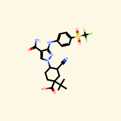 CC(C)(C)C1(C(=O)O)CCC(n2cc(C(N)=O)c(Nc3ccc(S(=O)(=O)C(F)(F)F)cc3)n2)C(C#N)C1